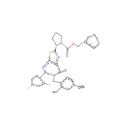 COc1ccc(Cn2c(-c3ccc(F)cc3F)nc3sc([C@H]4CCCN4C(=O)OCc4ccccc4)nc3c2=O)c(OC)c1